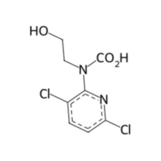 O=C(O)N(CCO)c1nc(Cl)ccc1Cl